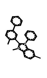 Cc1ccc2c(c1)n(-c1ccccc1)c(-c1cc(-c3ccccc3)ccc1C)[n+]2C